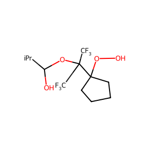 CC(C)C(O)OC(C(F)(F)F)(C(F)(F)F)C1(OO)CCCC1